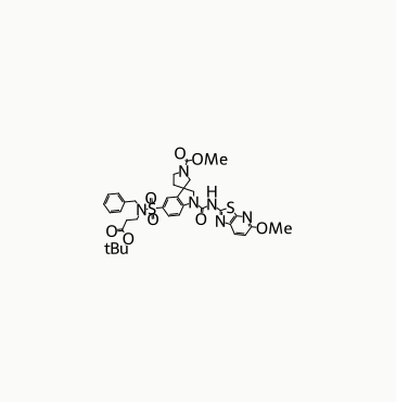 COC(=O)N1CCC2(C1)CN(C(=O)Nc1nc3ccc(OC)nc3s1)c1ccc(S(=O)(=O)N(CCC(=O)OC(C)(C)C)Cc3ccccc3)cc12